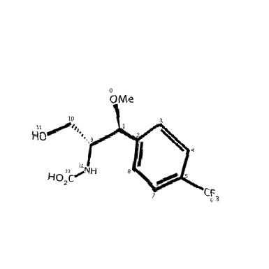 CO[C@@H](c1ccc(C(F)(F)F)cc1)[C@@H](CO)NC(=O)O